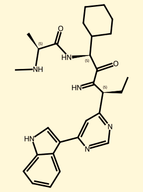 CC[C@H](C(=N)C(=O)[C@@H](NC(=O)[C@H](C)NC)C1CCCCC1)c1cc(-c2c[nH]c3ccccc23)ncn1